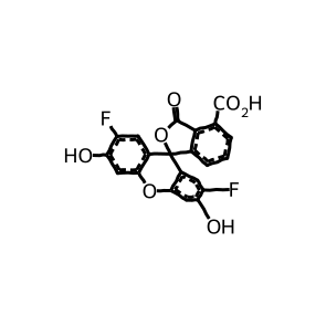 O=C(O)c1cccc2c1C(=O)OC21c2cc(F)c(O)cc2Oc2cc(O)c(F)cc21